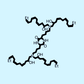 CC/C=C\C/C=C\C/C=C\CC(O)CN(CCCCC1NC(=O)C(CCCCN(CC(O)C/C=C\C/C=C\C/C=C\CC)CC(O)C/C=C\C/C=C\C/C=C\CC)NC1=O)CC(O)C/C=C\C/C=C\C/C=C\CC